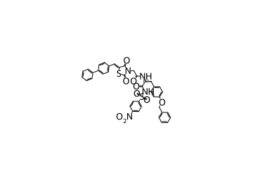 O=C(CN1C(=O)SC(=Cc2ccc(-c3ccccc3)cc2)C1=O)N[C@@H](Cc1ccc(OCc2ccccc2)cc1)C(=O)NS(=O)(=O)c1ccc([N+](=O)[O-])cc1